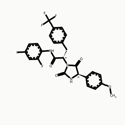 COc1ccc([C@H]2NC(=O)N([C@@H](Cc3ccc(C(F)(F)F)cc3)C(=O)Nc3ccc(I)cc3F)C2=O)cc1